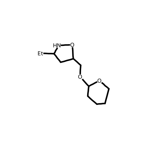 CCC1CC(COC2CCCCO2)ON1